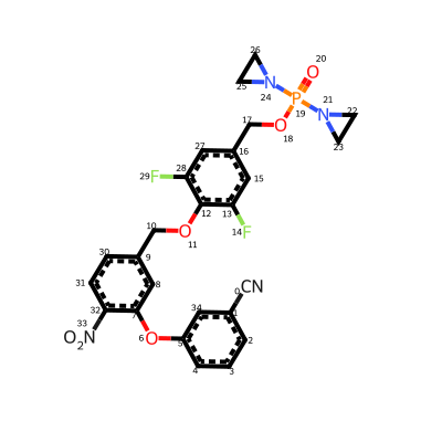 N#Cc1cccc(Oc2cc(COc3c(F)cc(COP(=O)(N4CC4)N4CC4)cc3F)ccc2[N+](=O)[O-])c1